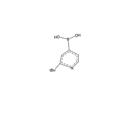 CC(C)(C)c1cc(B(O)O)ccn1